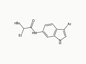 CCCCC(CC)C(=O)Nc1ccc2c(C(C)=O)c[nH]c2c1